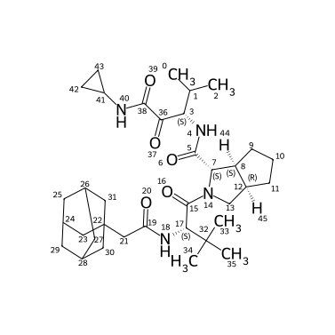 CC(C)[C@H](NC(=O)[C@@H]1[C@H]2CCC[C@H]2CN1C(=O)[C@@H](NC(=O)CC12CC3CC(CC(C3)C1)C2)C(C)(C)C)C(=O)C(=O)NC1CC1